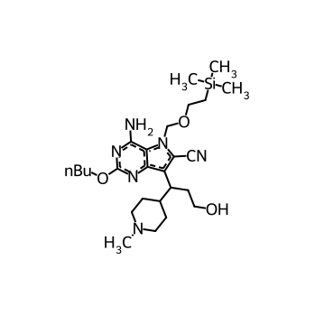 CCCCOc1nc(N)c2c(n1)c(C(CCO)C1CCN(C)CC1)c(C#N)n2COCC[Si](C)(C)C